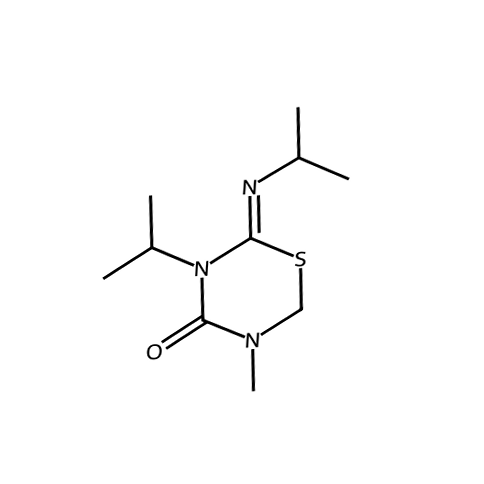 CC(C)N=C1SCN(C)C(=O)N1C(C)C